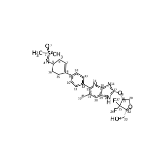 CS(C)(=O)=NC1CC=C(c2ccc(-c3nc4nc(O[C@@H]5CO[C@H](CO)C5(F)F)[nH]c4cc3F)cc2)CC1